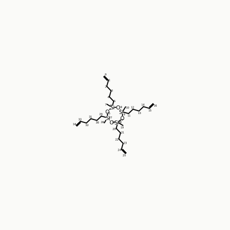 C=CCCCC[Si]1(C)O[Si](C)(CCCCC=C)O[Si](C)(CCCCC=C)O[Si](C)(CCCCC=C)O1